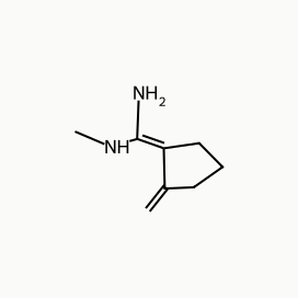 C=C1CCC/C1=C(\N)NC